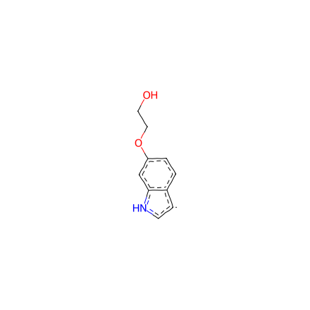 OCCOc1ccc2[c]c[nH]c2c1